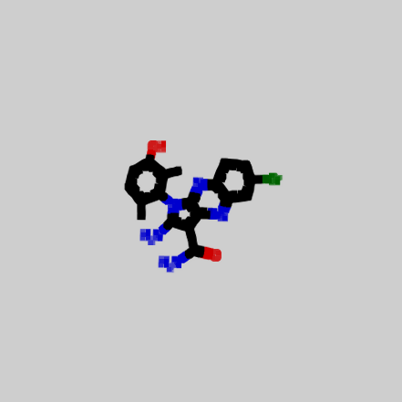 Cc1ccc(O)c(C)c1-n1c(N)c(C(N)=O)c2nc3cc(Br)ccc3nc21